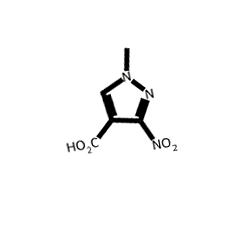 Cn1cc(C(=O)O)c([N+](=O)[O-])n1